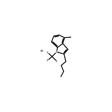 CCCCc1cc2c(C)cccc2[s+]1C(F)(F)F.[Br-]